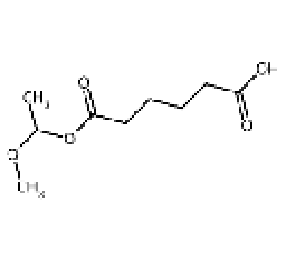 COC(C)OC(=O)CCCCC(=O)O